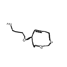 OCCOC1C=CCOCOC1